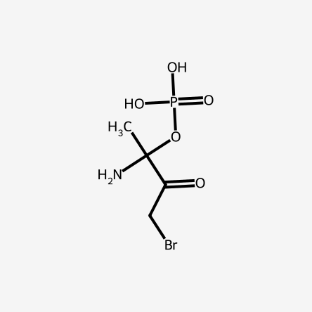 CC(N)(OP(=O)(O)O)C(=O)CBr